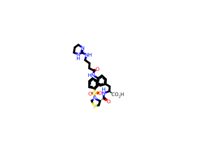 O=C(CCCNC1=NCCCN1)Nc1ccc(C[C@H](NC(=O)[C@@H]2CSCN2S(=O)(=O)c2ccccc2)C(=O)O)cc1